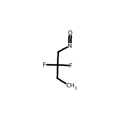 CCC(F)(F)CN=O